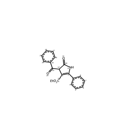 CCOC(=O)C1=C(c2ccccc2)NC(=O)C1C(=O)c1ccccc1